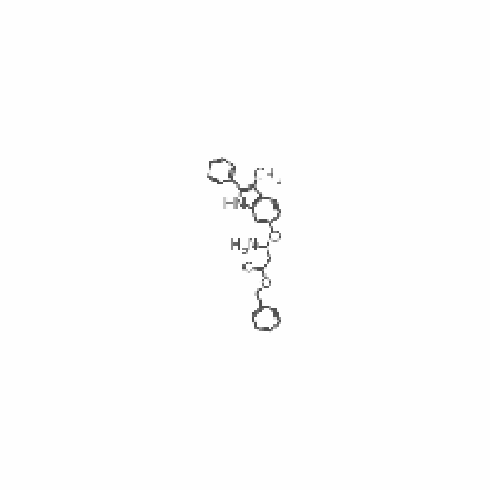 Cc1c(-c2ccccc2)[nH]c2cc(OC(N)CC(=O)OCc3ccccc3)ccc12